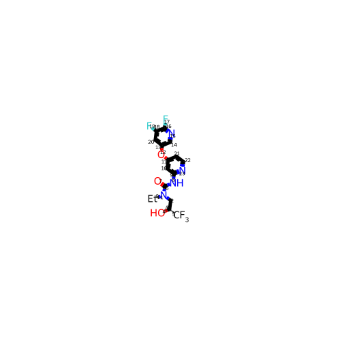 CCN(C[C@@H](O)C(F)(F)F)C(=O)Nc1cc(Oc2cnc(F)c(F)c2)ccn1